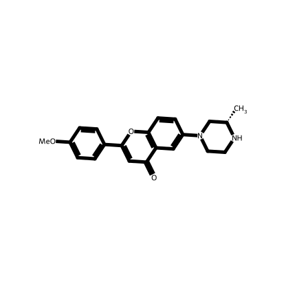 COc1ccc(-c2cc(=O)c3cc(N4CCN[C@@H](C)C4)ccc3o2)cc1